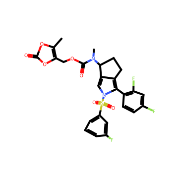 Cc1oc(=O)oc1COC(=O)N(C)C1CCc2c1cn(S(=O)(=O)c1cccc(F)c1)c2-c1ccc(F)cc1F